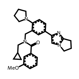 COc1cccc(C(=O)N(Cc2cc(-c3cn4c(n3)CCC4)ccc2N2CCCC2)CC2CC2)c1